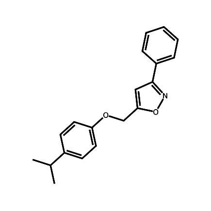 CC(C)c1ccc(OCc2cc(-c3ccccc3)no2)cc1